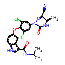 C=C1NC(=O)N(c2cc(Cl)c(Oc3ccc4[nH]cc(C(=O)NC(C)C)c4c3)c(Cl)c2)N=C1C#N